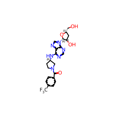 O=C(c1ccc(C(F)(F)F)cc1)N1CC[C@@H](Nc2ncnc3c2ncn3[C@@H]2O[C@H](CO)C[C@H]2O)C1